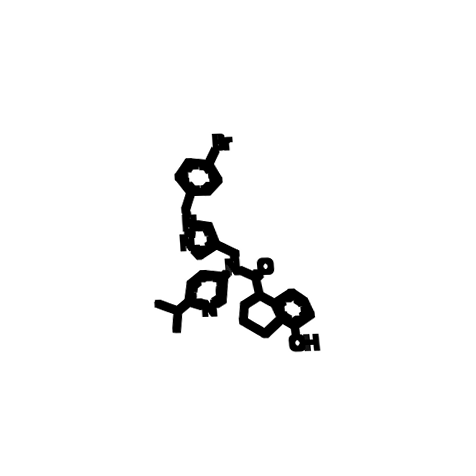 CC(C)c1ccc(N(Cc2cnn(Cc3ccc(Br)cc3)c2)C(=O)C2CCCc3c(O)cccc32)cn1